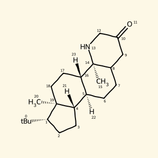 CC(C)(C)[C@H]1CC[C@H]2[C@@H]3CCC4CC(=O)CN[C@]4(C)[C@H]3CC[C@]12C